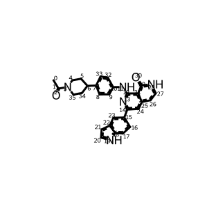 CC(=O)N1CCC(c2ccc(Nc3nc(-c4ccc5[nH]ccc5c4)cc4cc[nH]c(=O)c34)cc2)CC1